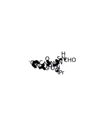 CC(C)O/N=C(\C(=O)NC1C(=O)N2C(C(=O)[O-])=C(C[n+]3ccccc3)CS[C@H]12)c1csc(NC=O)n1